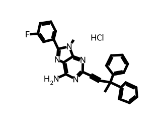 Cl.Cn1c(-c2cccc(F)c2)nc2c(N)nc(C#CC(C)(c3ccccc3)c3ccccc3)nc21